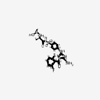 CB(O)N[C@H](C)C(=O)NS(=O)(=O)c1ccc(Nc2nc(N)n(C(=O)c3c(F)cccc3F)n2)cc1